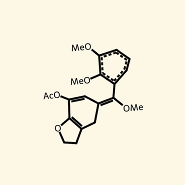 COC(=C1C=C(OC(C)=O)C2=C(CCO2)C1)c1cccc(OC)c1OC